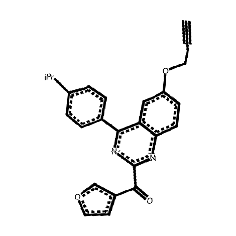 C#CCOc1ccc2nc(C(=O)c3ccoc3)nc(-c3ccc(C(C)C)cc3)c2c1